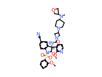 COc1ccccc1S(=O)(=O)N1C(=O)[C@@](NC(=O)N2CC(N3CCC(N(C)C4COC4)CC3)C2)(c2cccnc2OC)c2cc(C#N)ccc21